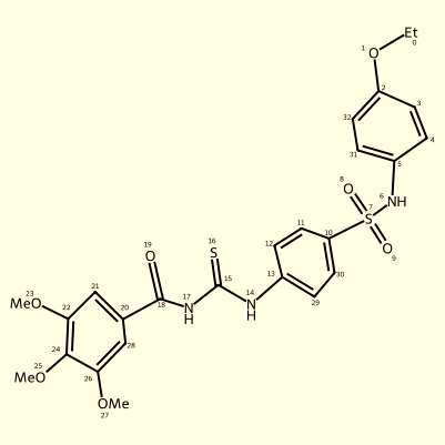 CCOc1ccc(NS(=O)(=O)c2ccc(NC(=S)NC(=O)c3cc(OC)c(OC)c(OC)c3)cc2)cc1